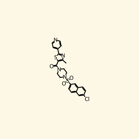 Cc1nc(-c2ccncc2)sc1C(=O)N1CCN(S(=O)(=O)c2ccc3cc(Cl)ccc3c2)CC1